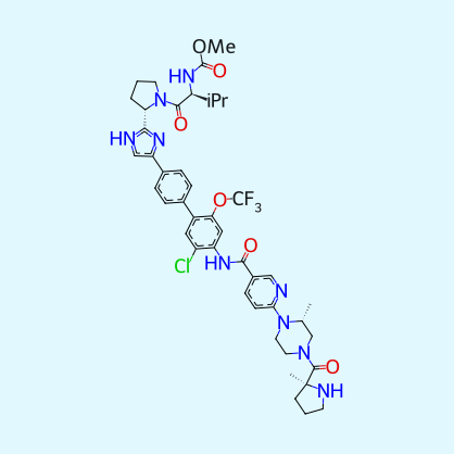 COC(=O)N[C@H](C(=O)N1CCC[C@H]1c1nc(-c2ccc(-c3cc(Cl)c(NC(=O)c4ccc(N5CCN(C(=O)[C@]6(C)CCCN6)C[C@H]5C)nc4)cc3OC(F)(F)F)cc2)c[nH]1)C(C)C